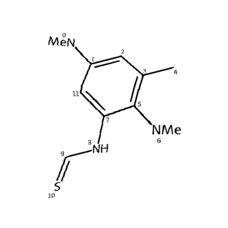 CNc1cc(C)c(NC)c(NC=S)c1